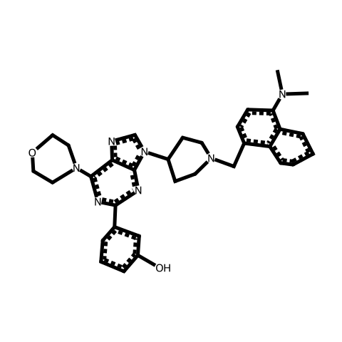 CN(C)c1ccc(CN2CCC(n3cnc4c(N5CCOCC5)nc(-c5cccc(O)c5)nc43)CC2)c2ccccc12